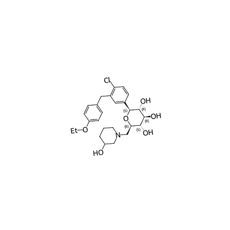 CCOc1ccc(Cc2cc([C@@H]3O[C@H](CN4CCCC(O)C4)[C@@H](O)[C@H](O)[C@H]3O)ccc2Cl)cc1